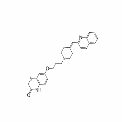 O=C1CSc2cc(OCCCN3CCC(=Cc4ccc5ccccc5n4)CC3)ccc2N1